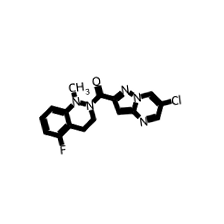 CN1c2cccc(F)c2CCN1C(=O)c1cc2ncc(Cl)cn2n1